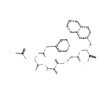 CC[C@H](C)C(NC(=O)[C@H](CC(N)=O)NC(=O)Cc1ccccc1)C(=O)C(=O)NCC(=O)N[C@@H](Cc1ccc2ccccc2c1)C(N)=O